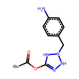 CC(C)(C)C(=O)OC1=NNN(Cc2ccc(N)cc2)N1